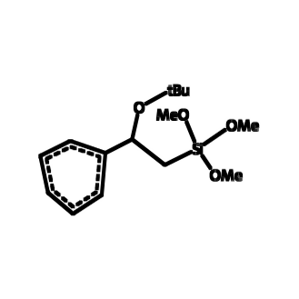 CO[Si](CC(OC(C)(C)C)c1ccccc1)(OC)OC